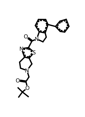 CC(C)(C)OC(=O)CN1CCc2nc(C(=O)N3CCc4c(-c5ccccc5)cccc43)sc2C1